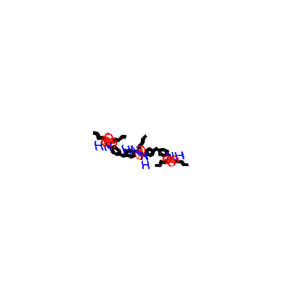 CCCCOP(=O)(Nc1ccc(Cc2ccc(NP(=O)(OCCCC)OCCCC)cc2)cc1)Nc1ccc(Cc2ccc(NP(=O)(OCCCC)OCCCC)cc2)cc1